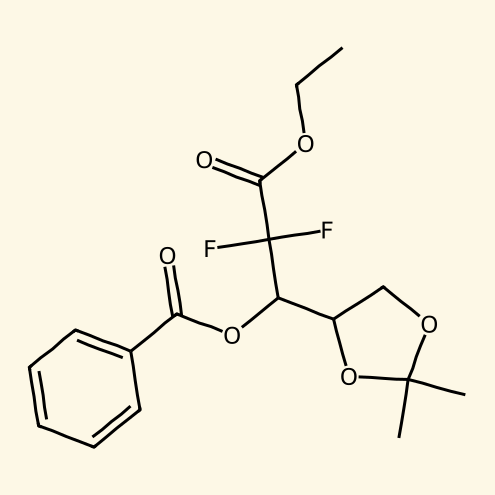 CCOC(=O)C(F)(F)C(OC(=O)c1ccccc1)C1COC(C)(C)O1